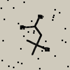 C[CH]C(CC(C)(C)CC)C(C)C